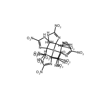 O=[N+]([O-])C1=NC([B-](C2(C([N+](=O)[O-])([N+](=O)[O-])[N+](=O)[O-])N=C([N+](=O)[O-])NN2)(C2(C([N+](=O)[O-])([N+](=O)[O-])[N+](=O)[O-])N=C([N+](=O)[O-])NN2)C2(C([N+](=O)[O-])([N+](=O)[O-])[N+](=O)[O-])N=C([N+](=O)[O-])NN2)(C([N+](=O)[O-])([N+](=O)[O-])[N+](=O)[O-])NN1